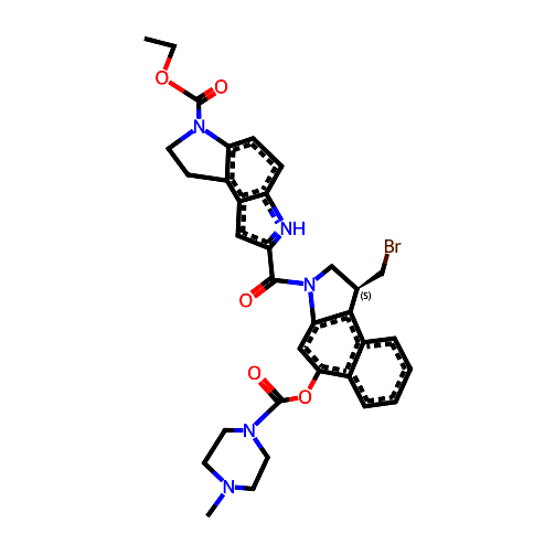 CCOC(=O)N1CCc2c1ccc1[nH]c(C(=O)N3C[C@@H](CBr)c4c3cc(OC(=O)N3CCN(C)CC3)c3ccccc43)cc21